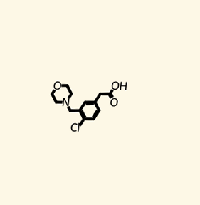 O=C(O)Cc1ccc(Cl)c(CN2CCOCC2)c1